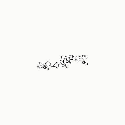 CCC(C)(C)CCCN1CCN(C(C)(C)CCC(C)(C)C2CCN(C[C@@H]3CCCN(C(C)(C)C)C3)CC2)CC1